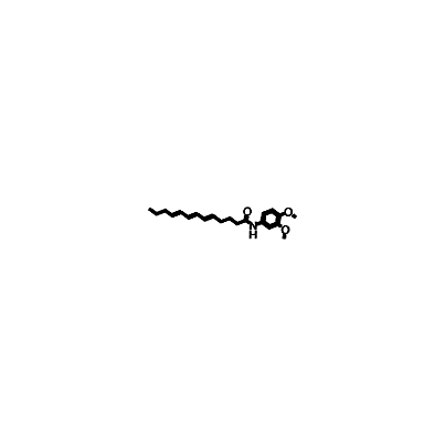 CCCC=CC=CC=CCCCC(=O)Nc1ccc(OC)c(OC)c1